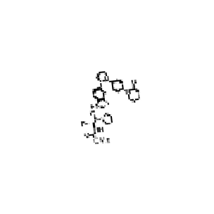 COC(=O)N[C@H](C(=O)N1CCC[C@H]1c1nc2cc([C@H]3CCCN3c3ccc(N4CCCCC4=O)cc3)ccc2[nH]1)C(C)C